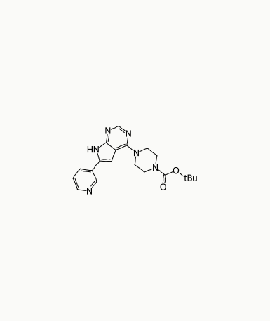 CC(C)(C)OC(=O)N1CCN(c2ncnc3[nH]c(-c4cccnc4)cc23)CC1